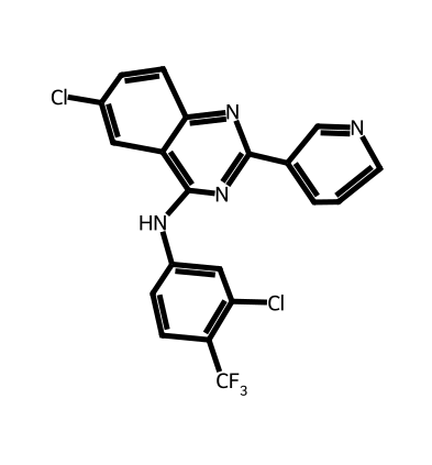 FC(F)(F)c1ccc(Nc2nc(-c3cccnc3)nc3ccc(Cl)cc23)cc1Cl